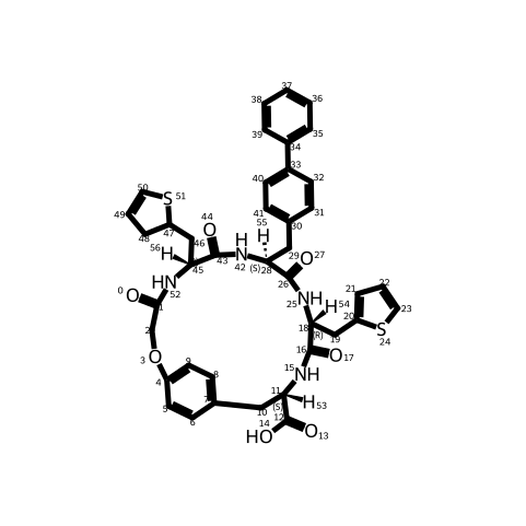 O=C1COc2ccc(cc2)C[C@@H](C(=O)O)NC(=O)[C@@H](Cc2cccs2)NC(=O)[C@H](Cc2ccc(-c3ccccc3)cc2)NC(=O)[C@@H](CC2CC=CS2)N1